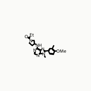 CCC(=O)N1CCC(Nc2ncnc3c2nc(-c2ccc(OC)c(C)c2)n3C)C1